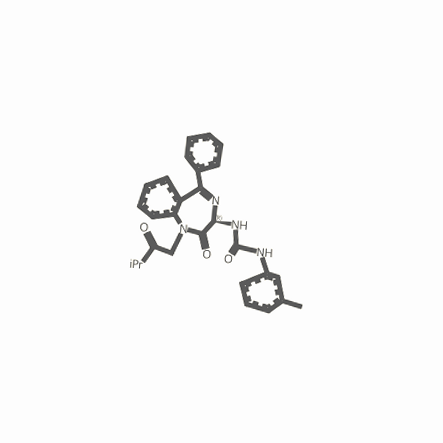 Cc1cccc(NC(=O)N[C@@H]2N=C(c3ccccc3)c3ccccc3N(CC(=O)C(C)C)C2=O)c1